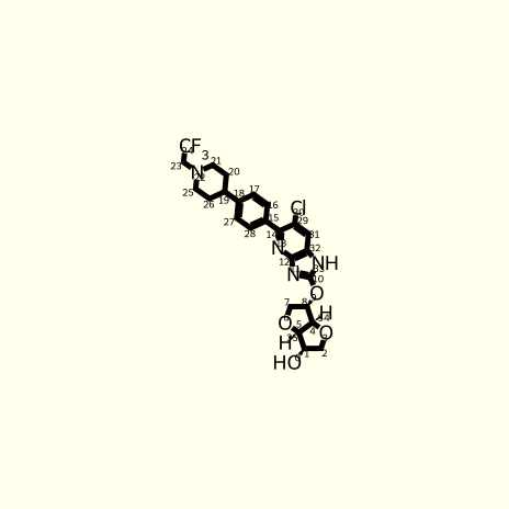 O[C@@H]1CO[C@H]2[C@@H]1OC[C@H]2Oc1nc2nc(-c3ccc(C4CCN(CC(F)(F)F)CC4)cc3)c(Cl)cc2[nH]1